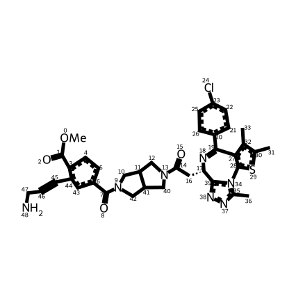 COC(=O)c1ccc(C(=O)N2CC3CN(C(=O)C[C@@H]4N=C(c5ccc(Cl)cc5)c5c(sc(C)c5C)-n5c(C)nnc54)CC3C2)cc1C#CCN